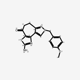 COc1ccc(Cn2cc3c(n2)CCC(=O)c2sc(N)nc2-3)cc1